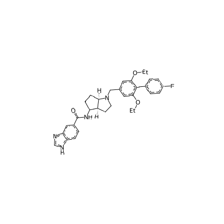 CCOc1cc(CN2CC[C@H]3C(NC(=O)c4ccc5[nH]cnc5c4)CC[C@H]32)cc(OCC)c1-c1ccc(F)cc1